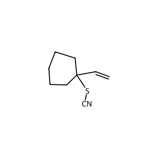 C=CC1(SC#N)CCCCC1